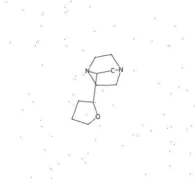 C1CO[C](C2CN3CCN2CC3)C1